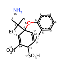 CCC(C)(C)C1(Oc2ccccc2C(F)(F)F)C=CC(S(=O)(=O)O)C([N+](=O)[O-])=C1.N